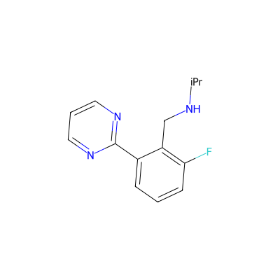 CC(C)NCc1c(F)cccc1-c1ncccn1